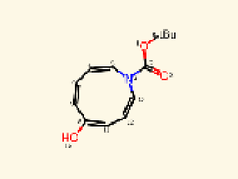 CC(C)(C)OC(=O)n1ccccc(O)ccc1